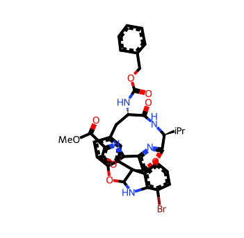 COC(=O)c1coc(-c2nc3oc2[C@]24c5cc(ccc5OC2Nc2c(Br)cccc24)C[C@H](NC(=O)OCc2ccccc2)C(=O)N[C@H]3C(C)C)n1